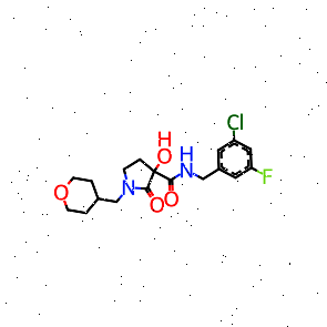 O=C(NCc1cc(F)cc(Cl)c1)C1(O)CCN(CC2CCOCC2)C1=O